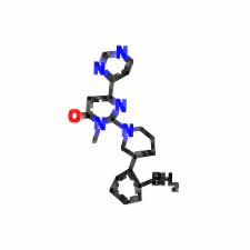 Bc1ccccc1C1=CCCN(c2nc(-c3ccncn3)cc(=O)n2C)C1